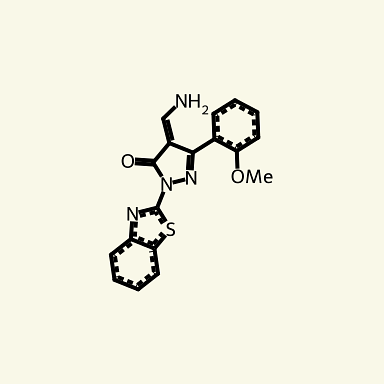 COc1ccccc1C1=NN(c2nc3ccccc3s2)C(=O)/C1=C/N